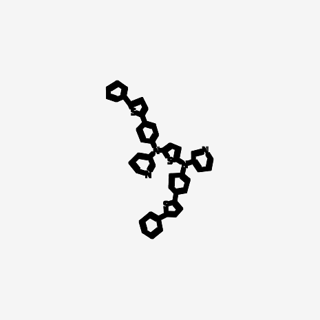 c1ccc(-c2ccc(-c3ccc(N(c4cccnc4)c4ccc(N(c5ccc(-c6ccc(-c7ccccc7)s6)cc5)c5cccnc5)s4)cc3)s2)cc1